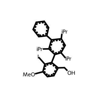 COc1ccc(CO)c(-c2c(C(C)C)cc(C(C)C)c(-c3ccccc3)c2C(C)C)c1I